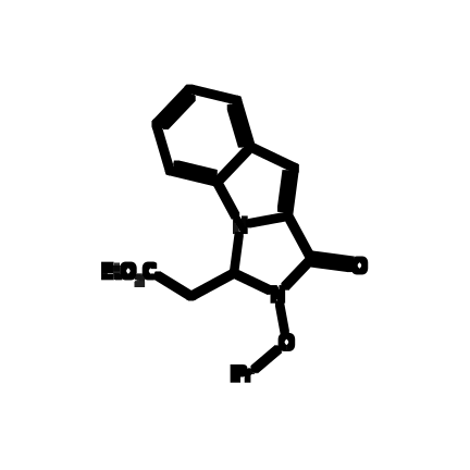 CCOC(=O)CC1N(OC(C)C)C(=O)c2cc3ccccc3n21